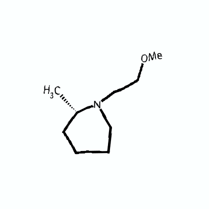 COCCN1CCCC[C@@H]1C